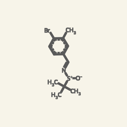 Cc1cc(C=N[S+]([O-])C(C)(C)C)ccc1Br